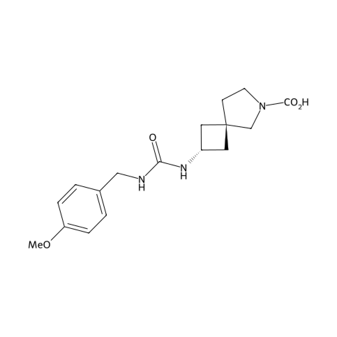 COc1ccc(CNC(=O)N[C@H]2C[C@]3(CCN(C(=O)O)C3)C2)cc1